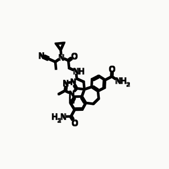 Cc1nnc(C2(CCNCC(=O)N(C(C)C#N)C3CC3)c3ccc(C(N)=O)cc3CCc3cc(C(N)=O)ccc32)[nH]1